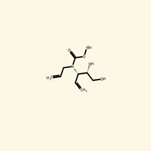 C=CCN(C(=O)OC(C)(C)C)[C@@H](C=C)[C@H](O)CO